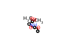 COc1ccc(C2CCCCC2NC(=O)c2ccc(C(=O)c3ccccc3)cc2)cc1OC